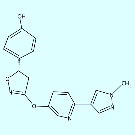 Cn1cc(-c2ccc(OC3=NO[C@H](c4ccc(O)cc4)C3)cn2)cn1